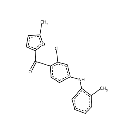 Cc1ccc(C(=O)c2ccc(Nc3ccccc3C)cc2Cl)o1